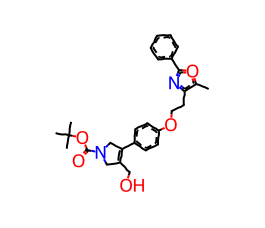 Cc1oc(-c2ccccc2)nc1CCOc1ccc(C2=C(CO)CN(C(=O)OC(C)(C)C)C2)cc1